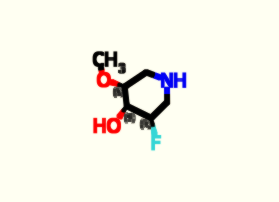 CO[C@H]1CNC[C@@H](F)[C@H]1O